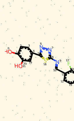 Oc1ccc(-c2nnc(N=Cc3ccccc3F)s2)cc1O